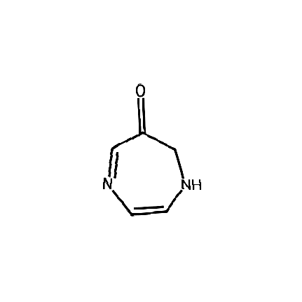 O=C1C=NC=CNC1